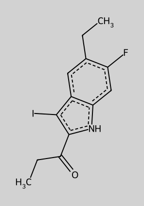 CCC(=O)c1[nH]c2cc(F)c(CC)cc2c1I